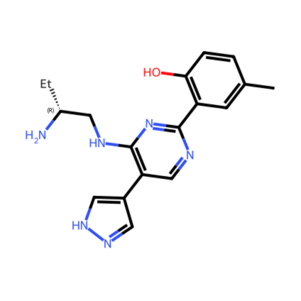 CC[C@@H](N)CNc1nc(-c2cc(C)ccc2O)ncc1-c1cn[nH]c1